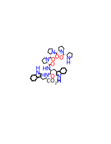 O=C(O)[C@H](Cc1c[nH]c2ccccc12)NC(=O)[C@H](Cc1c[nH]c2ccccc12)NC(=O)[C@@H]1CCCN1C(=O)[C@@H]1CCCN1C(=O)[C@@H]1CCCN1C(=O)[C@@H]1CCCN1